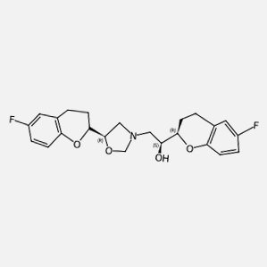 O[C@@H](CN1CO[C@@H](C2CCc3cc(F)ccc3O2)C1)[C@H]1CCc2cc(F)ccc2O1